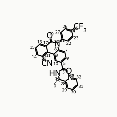 C[C@H](NC(=O)c1ccc2c(c1)c1c(C#N)cccc1c(=O)n2-c1ccc(C(F)(F)F)cc1)c1ccccn1